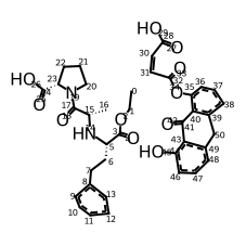 CCOC(=O)[C@H](CCc1ccccc1)N[C@@H](C)C(=O)N1CCC[C@H]1C(=O)O.O=C(O)/C=C\C(=O)Oc1cccc2c1C(=O)c1c(O)cccc1C2